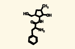 C[C@@H]1C[C@H](CO)[C@H](NC(=O)C(N)Cc2ccccc2)C1O